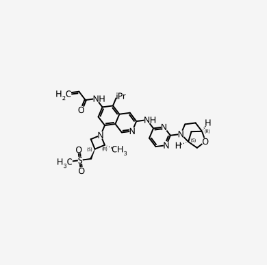 C=CC(=O)Nc1cc(N2C[C@H](CS(C)(=O)=O)[C@H]2C)c2cnc(Nc3ccnc(N4CC[C@@H]5C[C@H]4CO5)n3)cc2c1C(C)C